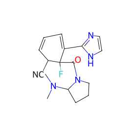 CN(C)C1CCCN1C(=O)C1(F)C(c2ncc[nH]2)=CC=CC1C#N